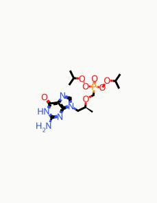 CC(C)OOP(=O)(CO[C@@H](C)Cn1cnc2c(=O)[nH]c(N)nc21)OOC(C)C